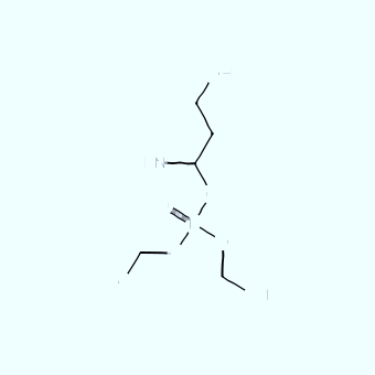 CCOP(=O)(OCC)OC(N)CCO